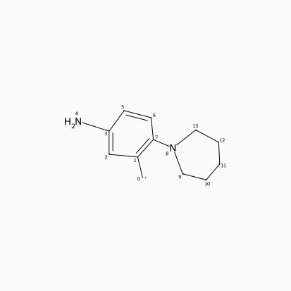 [CH2]c1cc(N)ccc1N1CCCCC1